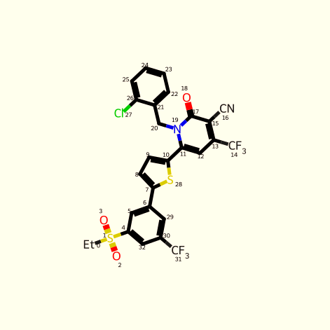 CCS(=O)(=O)c1cc(-c2ccc(-c3cc(C(F)(F)F)c(C#N)c(=O)n3Cc3ccccc3Cl)s2)cc(C(F)(F)F)c1